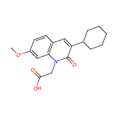 COc1ccc2cc(C3CCCCC3)c(=O)n(CC(=O)O)c2c1